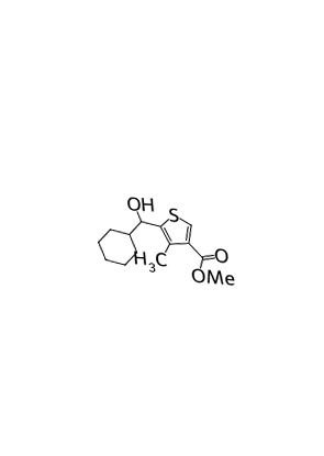 COC(=O)c1csc(C(O)C2CCCCC2)c1C